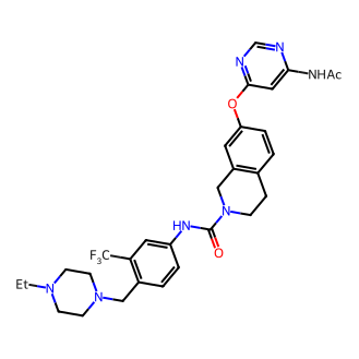 CCN1CCN(Cc2ccc(NC(=O)N3CCc4ccc(Oc5cc(NC(C)=O)ncn5)cc4C3)cc2C(F)(F)F)CC1